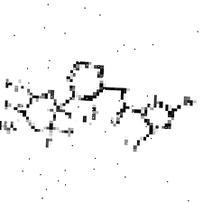 Cn1cc(Br)nc1C(=O)Nc1cccc([C@@]2(C)N=C(N)[C@](C)(F)CC2(F)F)c1F